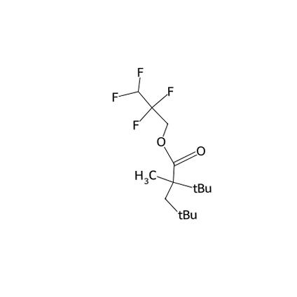 CC(C)(C)CC(C)(C(=O)OCC(F)(F)C(F)F)C(C)(C)C